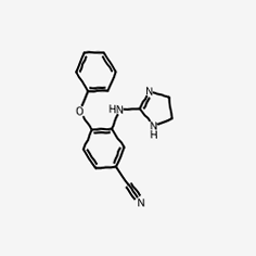 N#Cc1ccc(Oc2ccccc2)c(NC2=NCCN2)c1